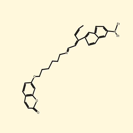 C\C=C/C(=C\C=N\CCCCCCOc1ccc2ccc(=O)oc2c1)c1ccc2cc(N(CC)CC)ccc2c1